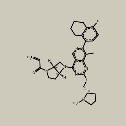 C=CC(=O)N1CC[C@@H]2[C@H]1CN2c1nc(OC[C@@H]2CCCN2C)nc2c(F)c(-c3ccc(F)c4c3CCCC4)ncc12